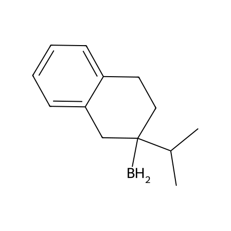 BC1(C(C)C)CCc2ccccc2C1